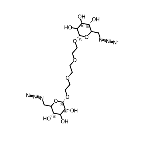 [N-]=[N+]=NCC1O[C@H](OCCOCCOCCO[C@H]2OC(CN=[N+]=[N-])[C@@H](O)[C@H](O)C2O)[C@H](O)C(O)[C@@H]1O